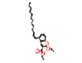 CCCCCCCCCCC/C=C\c1ccccc1C=C(C(=O)OCC)C(=O)OCC